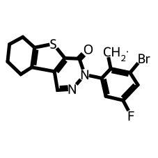 [CH2]c1c(Br)cc(F)cc1-n1ncc2c3c(sc2c1=O)CCCC3